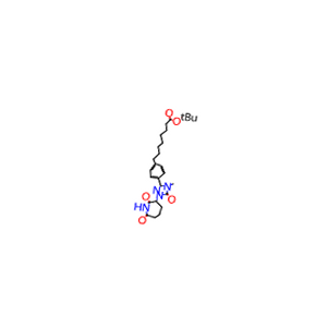 Cn1c(-c2ccc(CCCCCCCC(=O)OC(C)(C)C)cc2)nn(C2CCCC(=O)NC2=O)c1=O